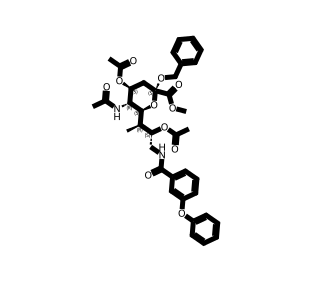 COC(=O)[C@]1(OCc2ccccc2)C[C@H](OC(C)=O)[C@@H](NC(C)=O)[C@H]([C@H](C)[C@@H](CNC(=O)c2cccc(Oc3ccccc3)c2)OC(C)=O)O1